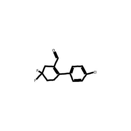 O=CC1=C(c2ccc(Cl)cc2)CCC(F)(F)C1